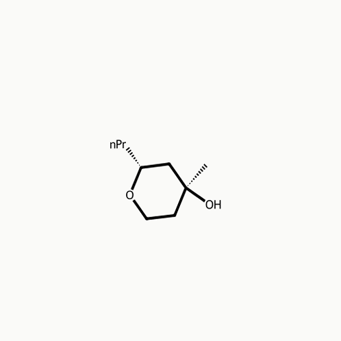 CCC[C@@H]1C[C@@](C)(O)CCO1